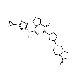 CC(C)(C)[C@@H](C(=O)N1C[C@H](O)C[C@H]1C(=O)NC1CCC(N2CCN3C(=O)CCC3C2)C1)n1cc(C2CC2)nn1